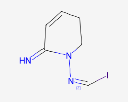 N=C1C=CCCN1/N=C\I